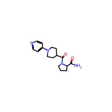 NC(=O)C1[CH]CCN1C(=O)C1CCN(c2ccncc2)CC1